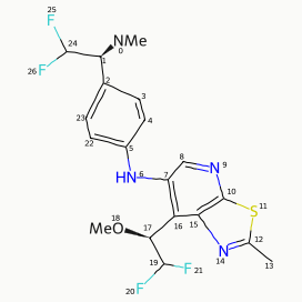 CN[C@@H](c1ccc(Nc2cnc3sc(C)nc3c2[C@H](OC)C(F)F)cc1)C(F)F